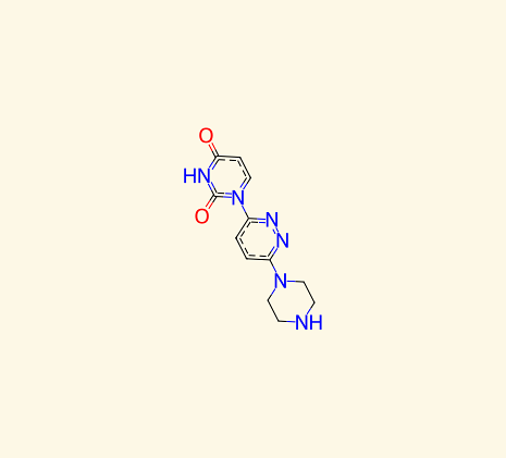 O=c1ccn(-c2ccc(N3CCNCC3)nn2)c(=O)[nH]1